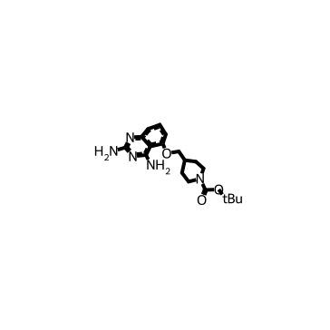 CC(C)(C)OC(=O)N1CCC(COc2cccc3nc(N)nc(N)c23)CC1